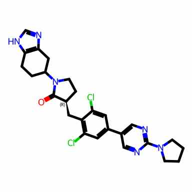 O=C1[C@H](Cc2c(Cl)cc(-c3cnc(N4CCCC4)nc3)cc2Cl)CCN1C1CCc2[nH]cnc2C1